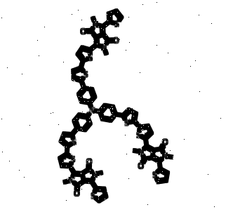 CN1C(=O)C2=C(c3ccc(-c4ccc(-c5ccc(N(c6ccc(-c7ccc(-c8ccc(C9=C%10C(=O)N(C)C(c%11cccs%11)=C%10C(=O)N9C)s8)s7)cc6)c6ccc(-c7ccc(-c8ccc(C9=C%10C(=O)N(C)C(c%11cccs%11)=C%10C(=O)N9C)s8)s7)cc6)cc5)s4)s3)N(C)C(=O)C2=C1c1cccs1